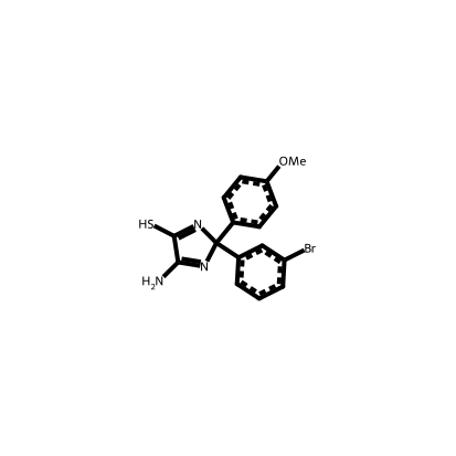 COc1ccc(C2(c3cccc(Br)c3)N=C(N)C(S)=N2)cc1